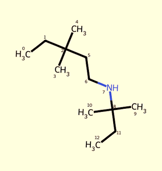 CCC(C)(C)CCNC(C)(C)CC